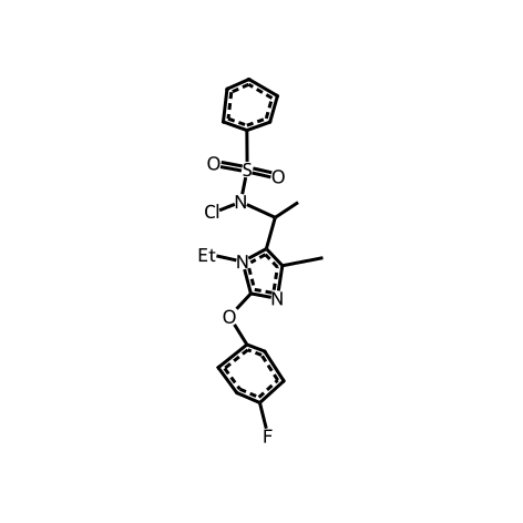 CCn1c(Oc2ccc(F)cc2)nc(C)c1C(C)N(Cl)S(=O)(=O)c1ccccc1